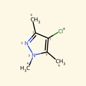 Cc1nn(C)c(C)c1Cl